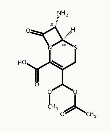 COC(OC(C)=O)C1=C(C(=O)O)N2C(=O)[C@H](N)[C@H]2SC1